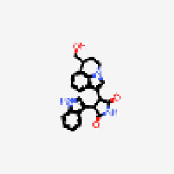 O=C1NC(=O)C(c2cn3c4c(cccc24)C(CO)CC3)C1c1c[nH]c2ccccc12